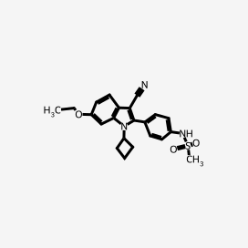 CCOc1ccc2c(C#N)c(-c3ccc(NS(C)(=O)=O)cc3)n(C3CCC3)c2c1